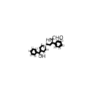 O=CNC(CCN1CCC(C(O)c2ccccc2)CC1)c1ccccc1